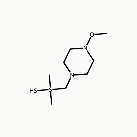 CON1CCN(CS(C)(C)S)CC1